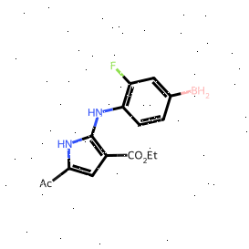 Bc1ccc(Nc2[nH]c(C(C)=O)cc2C(=O)OCC)c(F)c1